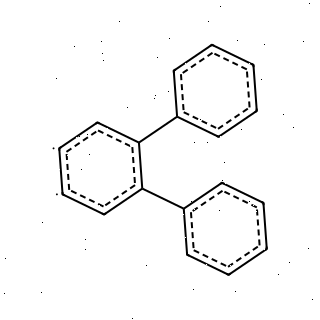 [c]1[c]cc(-c2ccccc2)c(-c2ccccc2)c1